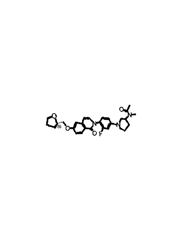 CC(=O)N(C)C1CCCN(c2ccc(-n3ccc4cc(OC[C@@H]5CCCO5)ccc4c3=O)c(F)c2)C1